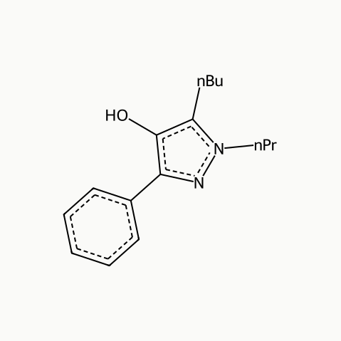 CCCCc1c(O)c(-c2ccccc2)nn1CCC